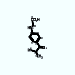 CC(Br)C(=O)c1ccc(NCC(=O)O)cc1